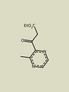 CCOC(=O)CC(=O)c1nccnc1C